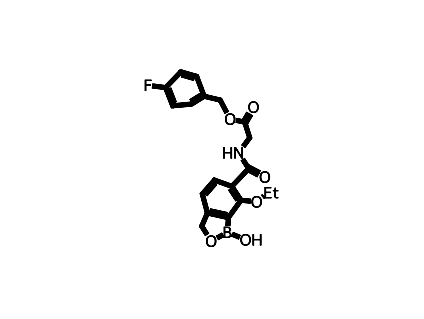 CCOc1c(C(=O)NCC(=O)OCc2ccc(F)cc2)ccc2c1B(O)OC2